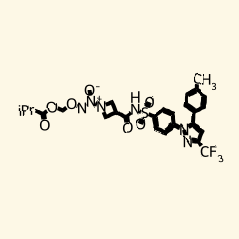 Cc1ccc(-c2cc(C(F)(F)F)nn2-c2ccc(S(=O)(=O)NC(=O)C3CN(/[N+]([O-])=N/OCOC(=O)C(C)C)C3)cc2)cc1